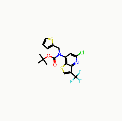 CC(C)(C)OC(=O)N(Cc1cccs1)c1cc(Cl)nc2c(C(F)(F)F)csc12